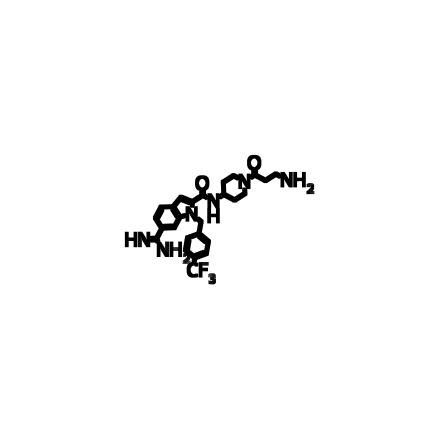 N=C(N)c1ccc2cc(C(=O)NC3CCN(C(=O)CCN)CC3)n(Cc3ccc(C(F)(F)F)cc3)c2c1